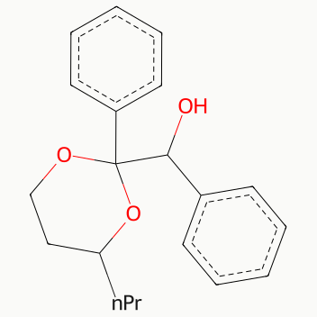 CCCC1CCOC(c2ccccc2)(C(O)c2ccccc2)O1